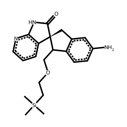 C[Si](C)(C)CCOCC1c2ccc(N)cc2C[C@@]12C(=O)Nc1ncccc12